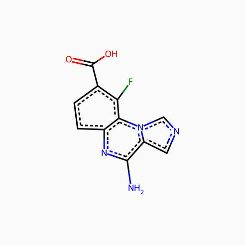 Nc1nc2ccc(C(=O)O)c(F)c2n2cncc12